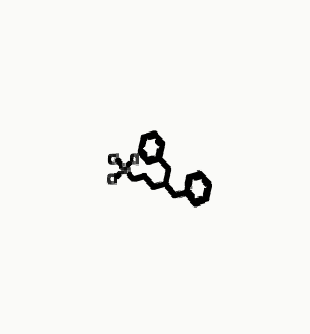 [Cl][Sn]([Cl])([Cl])[CH2]CCC(Cc1ccccc1)Cc1ccccc1